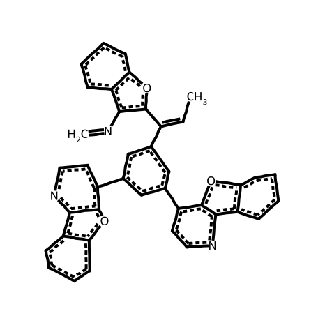 C=Nc1c(/C(=C\C)c2cc(-c3ccnc4c3oc3ccccc34)cc(-c3ccnc4c3oc3ccccc34)c2)oc2ccccc12